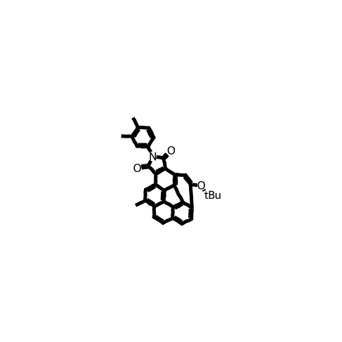 Cc1ccc(-n2c(=O)c3c4cc(C)c5ccc6ccc7c(OC(C)(C)C)cc(c3c2=O)c2c7c6c5c42)cc1C